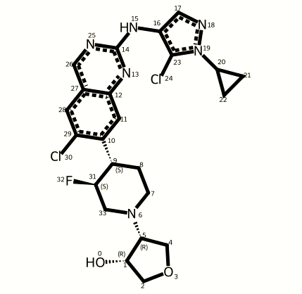 O[C@H]1COC[C@H]1N1CC[C@@H](c2cc3nc(Nc4cnn(C5CC5)c4Cl)ncc3cc2Cl)[C@H](F)C1